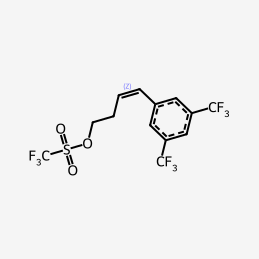 O=S(=O)(OCC/C=C\c1cc(C(F)(F)F)cc(C(F)(F)F)c1)C(F)(F)F